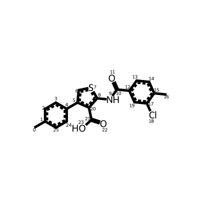 Cc1ccc(-c2csc(NC(=O)c3ccc(C)c(Cl)c3)c2C(=O)O)cc1